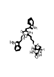 O=C(CCCC[C@@H]1SC[C@@H]2NC(=O)N[C@@H]21)NC(Cc1c[nH]c2ccccc12)C(=O)NCCc1c[nH]c2ccccc12